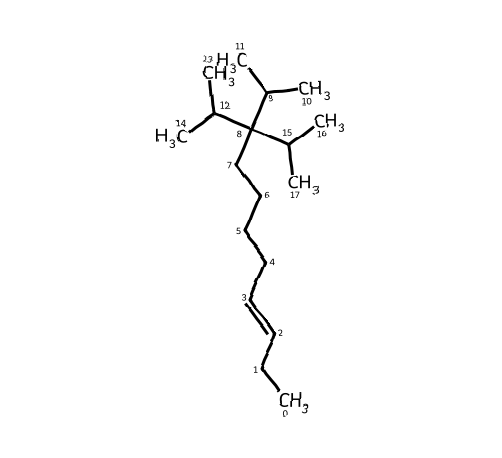 CCC=CCCCCC(C(C)C)(C(C)C)C(C)C